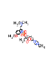 COc1ccc2c(CCN(C)C)cn(S(=O)(=O)OCC(C)(C)C(=O)OCCN3CCN(C)CC3)c2c1